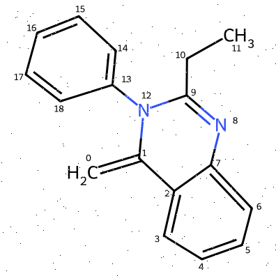 C=C1c2ccccc2N=C(CC)N1c1ccccc1